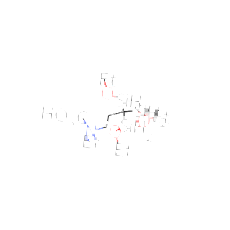 CCO[SiH2]C(CCN(CC)C(=O)O)([SiH2]OCC)[SiH2]OCC